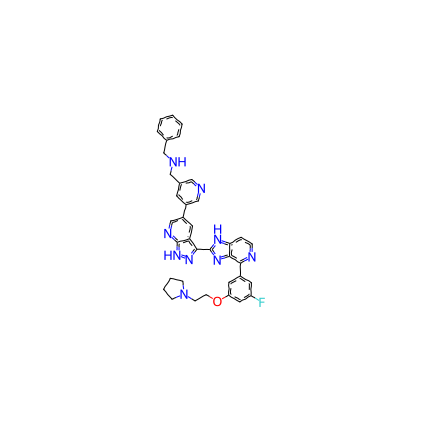 Fc1cc(OCCN2CCCC2)cc(-c2nccc3[nH]c(-c4n[nH]c5ncc(-c6cncc(CNCc7ccccc7)c6)cc45)nc23)c1